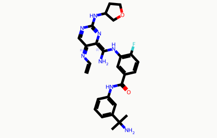 C=C/N=C1/C=NC(NC2CCOC2)=N/C1=C(/N)Nc1cc(C(=O)Nc2cccc(C(C)(C)N)c2)ccc1F